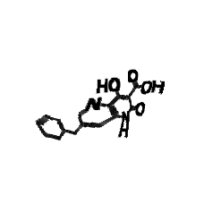 O=C(O)c1c(O)c2ncc(Cc3ccccc3)cc2[nH]c1=O